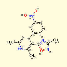 CC1=CC(c2cccc([N+](=O)[O-])c2)C(c2nc(C)no2)=C(C)N1